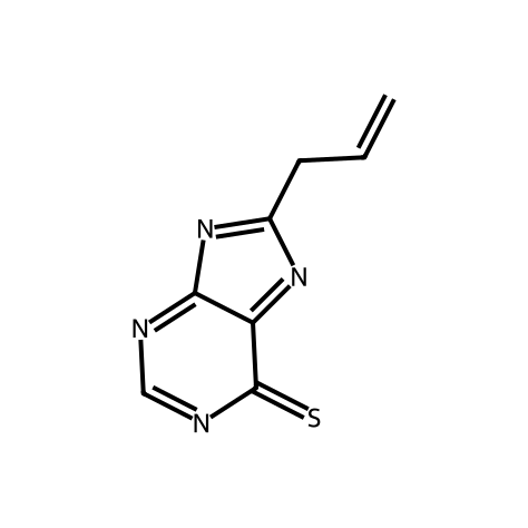 C=CCC1=NC2=NC=NC(=S)C2=N1